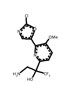 COc1ccc(C(O)(CN)C(F)(F)F)nc1-c1cnc(Cl)s1